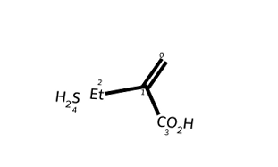 C=C(CC)C(=O)O.S